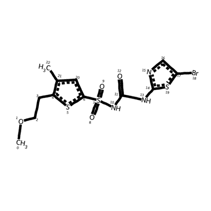 COCCc1sc(S(=O)(=O)NC(=O)Nc2ncc(Br)s2)cc1C